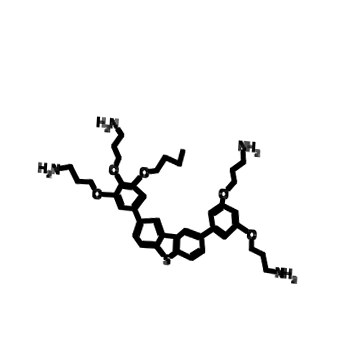 CCCCOc1cc(-c2ccc3sc4ccc(-c5cc(OCCCN)cc(OCCCN)c5)cc4c3c2)cc(OCCCN)c1OCCCN